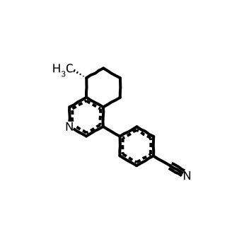 C[C@@H]1CCCc2c(-c3ccc(C#N)cc3)cncc21